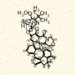 CCOP(=O)(N[C@@H](C(O)OC)C(C)(C)C)Oc1c2n(ccc1=O)N([C@@H]1c3ccccc3-c3scc4c3-c3c1ccc(F)c3C(F)(F)C4)[C@@H]1COCCN1C2=O